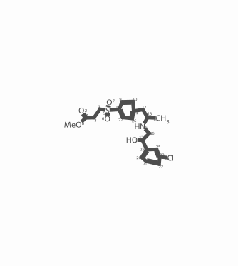 COC(=O)CCS(=O)(=O)c1ccc(CC(C)NCC(O)c2cccc(Cl)c2)cc1